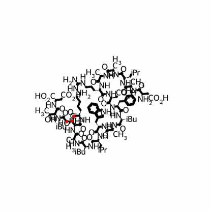 CC[C@H](C)[C@H](NC(=O)[C@H](CC(C)C)NC(=O)[C@H](Cc1c[nH]c2ccccc12)NC(=O)[C@H](C)NC(=O)[C@@H](NC(=O)[C@H](Cc1ccccc1)NC(=O)[C@H](CC(=O)O)NC(=O)[C@H](CCCNC(=N)N)NC(=O)[C@H](C)NC(=O)[C@H](C)NC(=O)[C@H](CC(C)C)NC(=O)[C@H](C)NC(=O)[C@@H](N)CC(=O)O)[C@@H](C)CC)C(=O)N[C@@H](C)C(=O)N[C@H](C(=O)N[C@@H](CCCCN)C(=O)N[C@H](C(=O)N[C@H](C(=O)N[C@@H](CC(=O)O)C(=O)O)[C@@H](C)O)[C@@H](C)CC)[C@@H](C)O